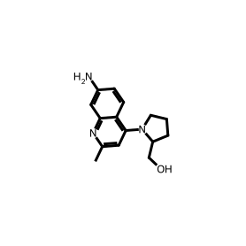 Cc1cc(N2CCCC2CO)c2ccc(N)cc2n1